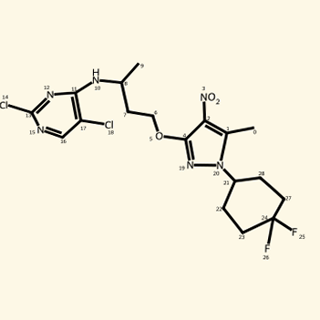 Cc1c([N+](=O)[O-])c(OCCC(C)Nc2nc(Cl)ncc2Cl)nn1C1CCC(F)(F)CC1